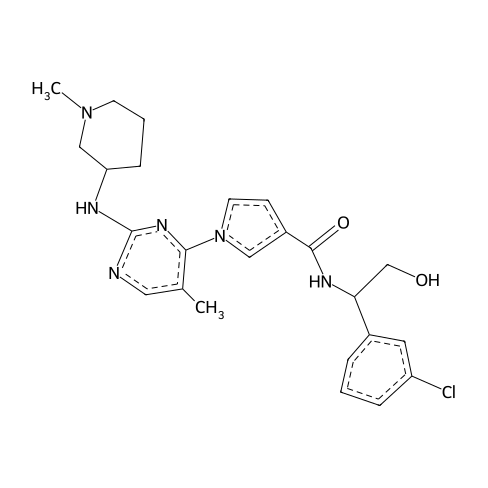 Cc1cnc(NC2CCCN(C)C2)nc1-n1ccc(C(=O)NC(CO)c2cccc(Cl)c2)c1